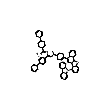 CC(/C=C(\N=C(/N)C1CCC(C2C=CC=CC2)CC1)c1ccc(-c2ccccc2)cc1)C1CC=C(C2=CC3c4c(cccc4N4C5C=CC=CC5C5C=CC=CC54)OC3C3C=CC=CC23)CC1